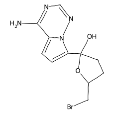 Nc1ncnn2c(C3(O)CCC(CBr)O3)ccc12